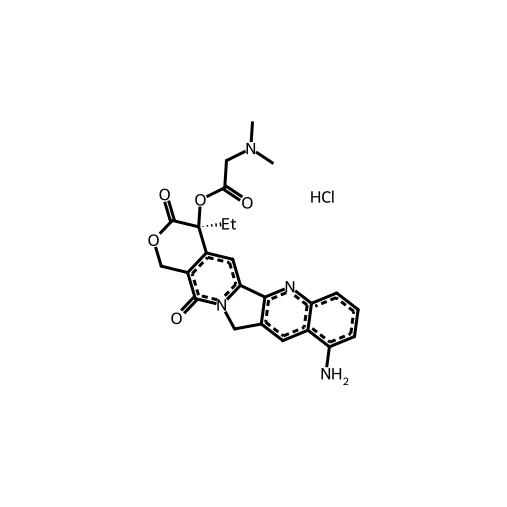 CC[C@@]1(OC(=O)CN(C)C)C(=O)OCc2c1cc1n(c2=O)Cc2cc3c(N)cccc3nc2-1.Cl